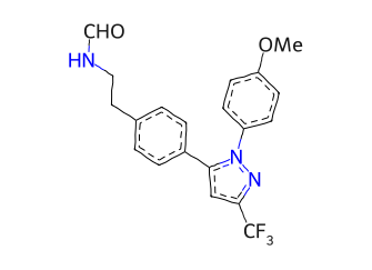 COc1ccc(-n2nc(C(F)(F)F)cc2-c2ccc(CCNC=O)cc2)cc1